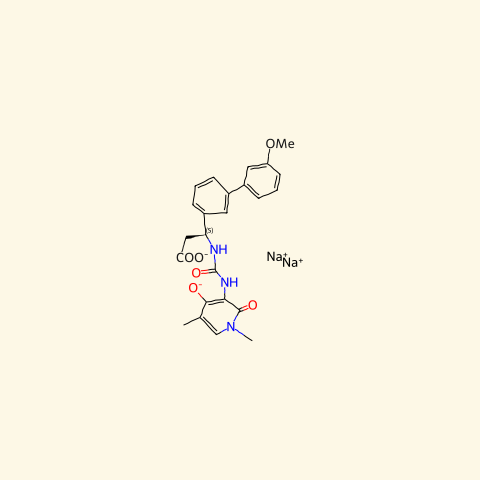 COc1cccc(-c2cccc([C@H](CC(=O)[O-])NC(=O)Nc3c([O-])c(C)cn(C)c3=O)c2)c1.[Na+].[Na+]